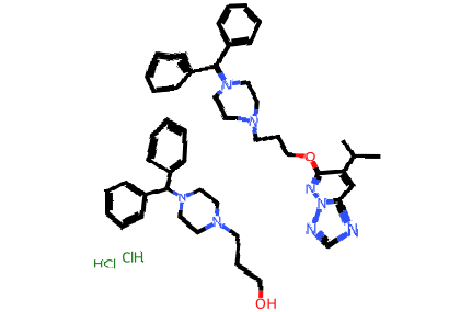 CC(C)c1cc2ncnn2nc1OCCCN1CCN(C(c2ccccc2)c2ccccc2)CC1.Cl.Cl.OCCCN1CCN(C(c2ccccc2)c2ccccc2)CC1